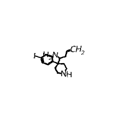 C=CCC(N)C1(c2ccc(I)cc2)CCNCC1